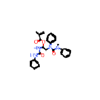 C=C(C)C(=O)OC(CN(C(=O)N(C)c1ccccc1)c1ccccc1)NC(=O)Nc1ccccc1